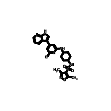 Cc1noc(C)c1S(=O)(=O)NC1CCC(Nc2cc(-c3c[nH]c4ncccc34)cc(Cl)n2)CC1